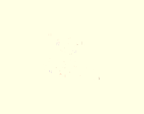 Cc1ccc(-c2cc(C(=O)NC(C)c3ccc(C)nc3)cc(C(O)c3ccccn3)c2)cc1